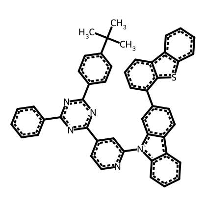 CC(C)(C)c1ccc(-c2nc(-c3ccccc3)nc(-c3ccnc(-n4c5ccccc5c5ccc(-c6cccc7c6sc6ccccc67)cc54)c3)n2)cc1